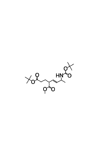 COC(=O)C(/C=C/C(C)NC(=O)OC(C)(C)C)CCC(=O)OC(C)(C)C